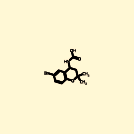 CC1(C)CC(NC(=O)O)c2cc(Br)ccc2O1